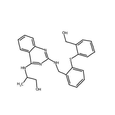 CC(CO)Nc1nc(NCc2ccccc2Sc2ccccc2CO)nc2ccccc12